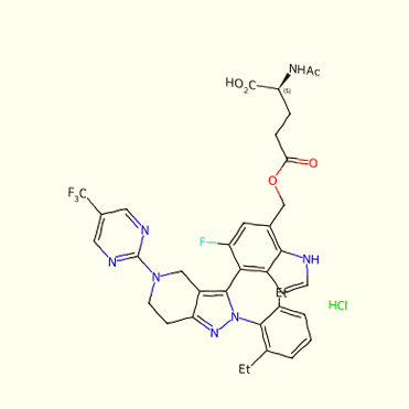 CCc1cccc(CC)c1-n1nc2c(c1-c1c(F)cc(COC(=O)CC[C@H](NC(C)=O)C(=O)O)c3[nH]ccc13)CN(c1ncc(C(F)(F)F)cn1)CC2.Cl